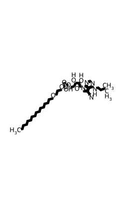 CCCCCCCCCCCCCCCCOCCCOP(=O)(O)OCC1O[C@@H](n2cc(C#N)c3c(NCCC(C)C)ncnc32)[C@H](O)C1O